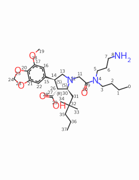 CCCCN(CCCN)C(=O)CN1C[C@H](c2cc(OC)c3c(c2)OCO3)[C@@H](C(=O)O)[C@@H]1CC(C)(C)CCC